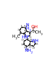 Cc1ccc(N)c2c(C(C)O)c[nH]c12.Nc1cccc2[nH]ccc12